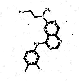 CN(CCO)c1ncc2ncnc(Nc3ccc(F)c(Cl)c3)c2n1